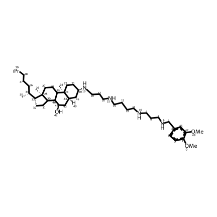 COc1ccc(CNCCCNCCCCNCCCN[C@H]2CC[C@]3(C)C4CC[C@@]5(C)C(CC[C@@H]5[C@H](C)CCCC(C)C)C4[C@H](O)C[C@@H]3C2)cc1OC